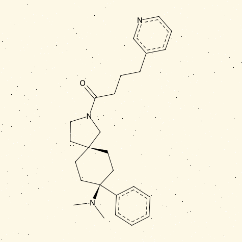 CN(C)[C@]1(c2ccccc2)CC[C@]2(CCN(C(=O)CCCc3cccnc3)C2)CC1